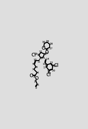 C=CCOC(=O)CCC/C=C\C[C@@H]1[C@@H](C=Cc2cc(Cl)cc(Cl)c2)[C@H](OC2CCCCO2)C[C@H]1Cl